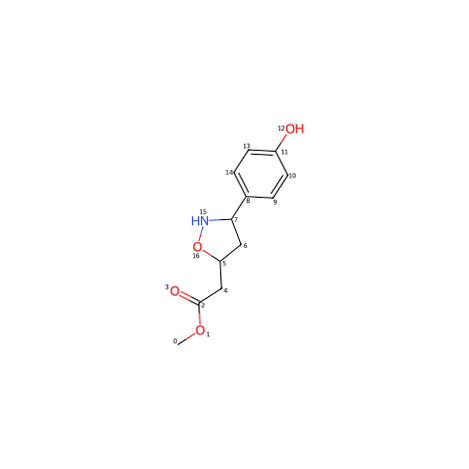 COC(=O)CC1CC(c2ccc(O)cc2)NO1